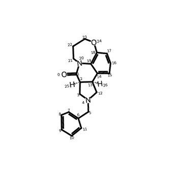 O=C1[C@@H]2CN(Cc3ccccc3)C[C@@H]2c2cccc3c2N1CCCO3